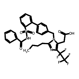 CCCCc1nc(C(F)(F)C(F)(F)F)c(CC(=O)O)n1Cc1ccc(-c2ccccc2S(=O)(=O)NC(=O)c2ccccc2)cc1